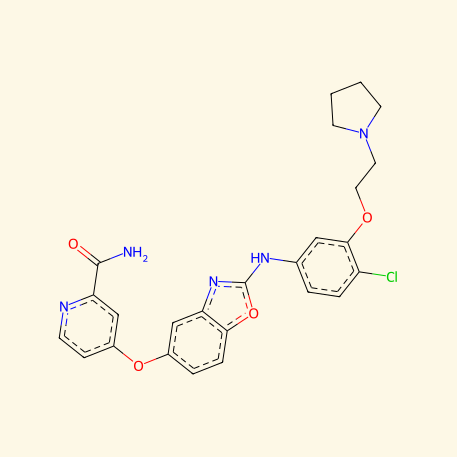 NC(=O)c1cc(Oc2ccc3oc(Nc4ccc(Cl)c(OCCN5CCCC5)c4)nc3c2)ccn1